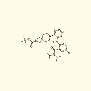 CC(C)N(C(=O)c1cc(F)ccc1Nc1cncnc1N1CCC2(CC1)CN(C(=O)OC(C)(C)C)C2)C(C)C